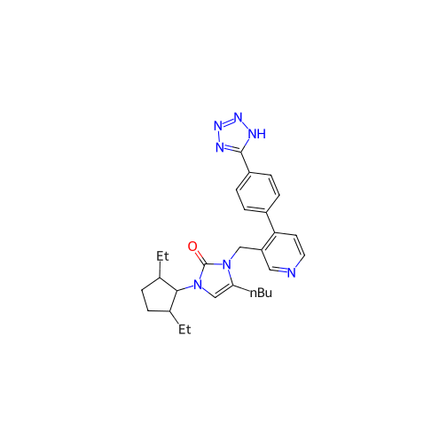 CCCCc1cn(C2C(CC)CCC2CC)c(=O)n1Cc1cnccc1-c1ccc(-c2nnn[nH]2)cc1